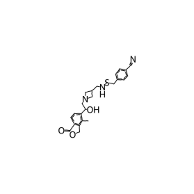 Cc1c(C(O)CN2CC(CNSCc3ccc(C#N)cc3)C2)ccc2c1COC2=O